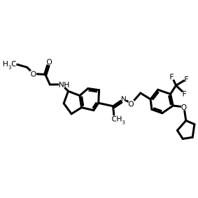 CCOC(=O)CNC1CCc2cc(/C(C)=N/OCc3ccc(OC4CCCC4)c(C(F)(F)F)c3)ccc21